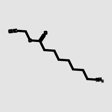 NCCCCCCCC(=O)OCC=O